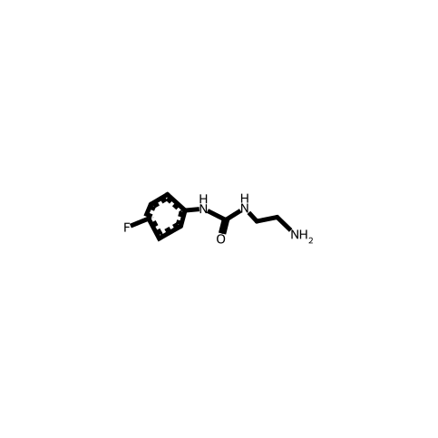 NCCNC(=O)Nc1ccc(F)cc1